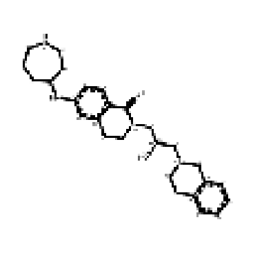 O=C1c2ccc(NC3CCCNCC3)cc2CCN1C[C@H](O)CN1CCc2ccccc2C1